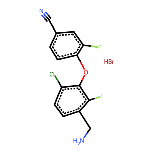 Br.N#Cc1ccc(Oc2c(Cl)ccc(CN)c2F)c(F)c1